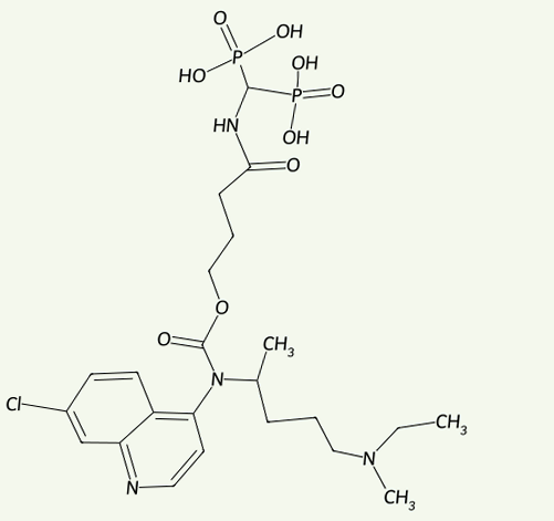 CCN(C)CCCC(C)N(C(=O)OCCCC(=O)NC(P(=O)(O)O)P(=O)(O)O)c1ccnc2cc(Cl)ccc12